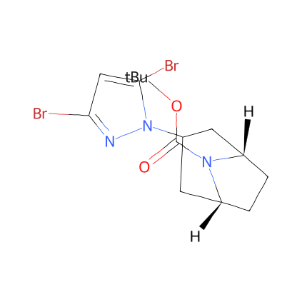 CC(C)(C)OC(=O)N1[C@@H]2CC[C@H]1CC(n1nc(Br)cc1Br)C2